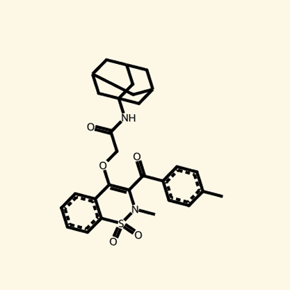 Cc1ccc(C(=O)C2=C(OCC(=O)NC34CC5CC(CC(C5)C3)C4)c3ccccc3S(=O)(=O)N2C)cc1